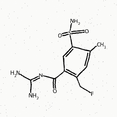 Cc1cc(CF)c(C(=O)N=C(N)N)cc1S(N)(=O)=O